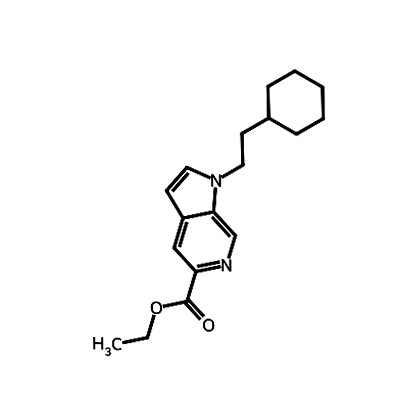 CCOC(=O)c1cc2ccn(CCC3CCCCC3)c2cn1